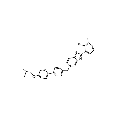 Cc1cccc(-c2nc3ccn(Cc4ccc(-c5ccc(OCC(C)C)cc5)cc4)cc-3n2)c1F